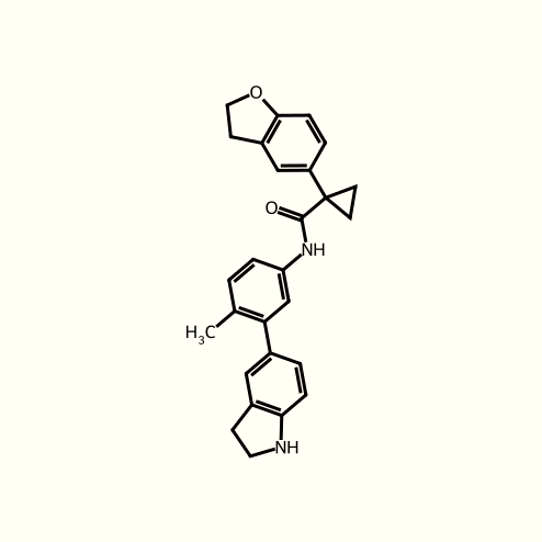 Cc1ccc(NC(=O)C2(c3ccc4c(c3)CCO4)CC2)cc1-c1ccc2c(c1)CCN2